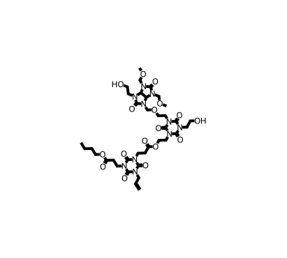 C=CCn1c(=O)n(CCC(=O)OCCCC)c(=O)n(CCC(=O)OCCn2c(=O)n(CCO)c(=O)n(CCOCN3C(=O)N(CCO)C4C3N(COC)C(=O)N4COC)c2=O)c1=O